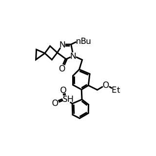 CCCCC1=NC2(CC3(CC3)C2)C(=O)N1Cc1ccc(-c2ccccc2[SH](=O)=O)c(COCC)c1